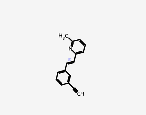 C#Cc1cccc(/C=C/c2cccc(C)n2)c1